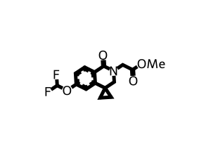 COC(=O)CN1CC2(CC2)c2cc(OC(F)F)ccc2C1=O